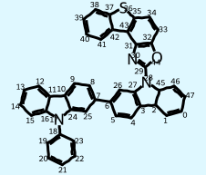 C1=CC2c3ccc(-c4ccc5c6ccccc6n(-c6ccccc6)c5c4)cc3N(c3nc4c(ccc5sc6ccccc6c54)o3)C2C=C1